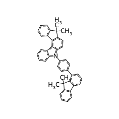 CC1(C)c2ccccc2-c2c1ccc1c2c2ccccc2n1-c1ccc(-c2cccc3c2C(C)(C)c2ccccc2-3)cc1